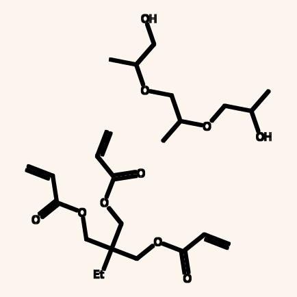 C=CC(=O)OCC(CC)(COC(=O)C=C)COC(=O)C=C.CC(O)COC(C)COC(C)CO